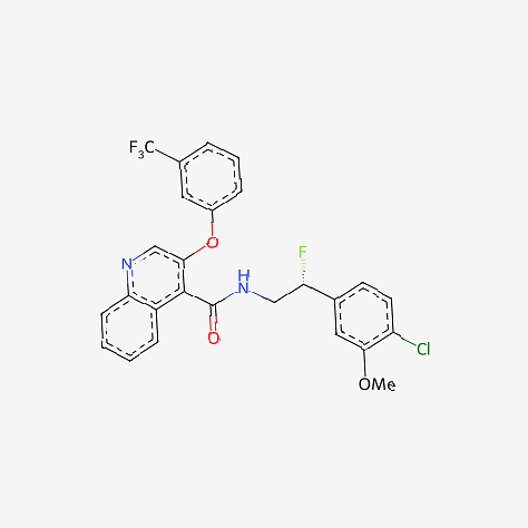 COc1cc([C@@H](F)CNC(=O)c2c(Oc3cccc(C(F)(F)F)c3)cnc3ccccc23)ccc1Cl